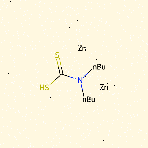 CCCCN(CCCC)C(=S)S.[Zn].[Zn]